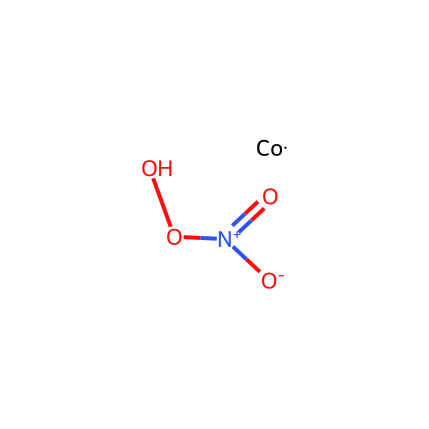 O=[N+]([O-])OO.[Co]